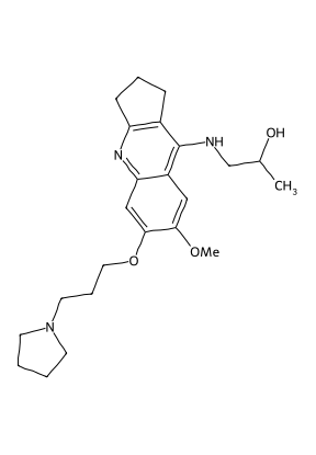 COc1cc2c(NCC(C)O)c3c(nc2cc1OCCCN1CCCC1)CCC3